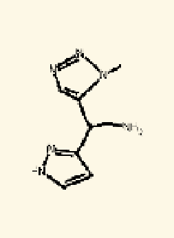 Cn1nncc1C(N)c1cc[nH]n1